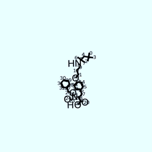 CC(C)(C)CC(C)(C)NCCCOc1ccc(CC(C(=O)O)N(C=O)OCc2ccccc2)cc1